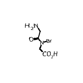 NCC(=O)N(Br)CC(=O)O